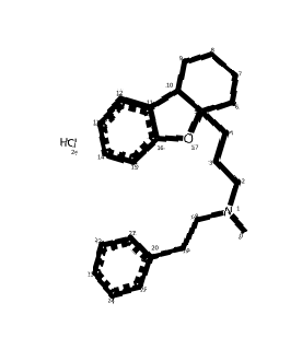 CN(CCCC12CCCCC1c1ccccc1O2)CCc1ccccc1.Cl